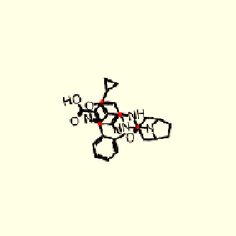 Cc1cc(C(=O)O)ccc1NC(=O)N1C2CCC1CC(NCc1c(-c3ccccc3C)noc1C1CC1)C2